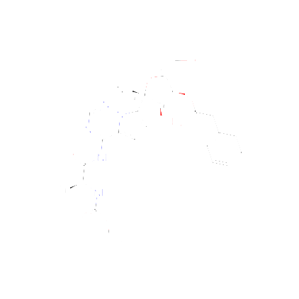 CC(C)[C@H](NC(=O)OC(C)(C)C)C(=O)Nc1ncnn2c([C@]3(C#N)O[C@H](CO)[C@@H](OC(=O)Cc4ccccc4)[C@H]3O)ccc12